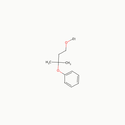 CCOCCC(C)(C)Oc1ccccc1